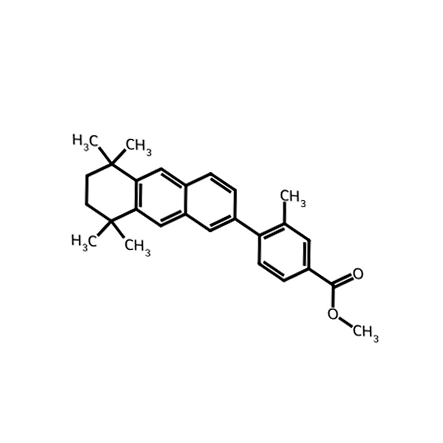 COC(=O)c1ccc(-c2ccc3cc4c(cc3c2)C(C)(C)CCC4(C)C)c(C)c1